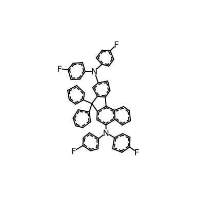 Fc1ccc(N(c2ccc(F)cc2)c2ccc3c(c2)C(c2ccccc2)(c2ccccc2)c2cc(N(c4ccc(F)cc4)c4ccc(F)cc4)c4ccccc4c2-3)cc1